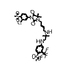 CC(C)(CNc1ccc(S(C)(=O)=O)c(C(F)(F)F)c1)NCC=CCN1C(=O)N(c2ccc(S(C)(=O)=O)c(Cl)c2)C(=O)C1(C)C